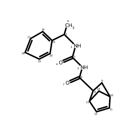 CC(NC(=O)NC(=O)C1CC2C=CC1C2)c1ccccc1